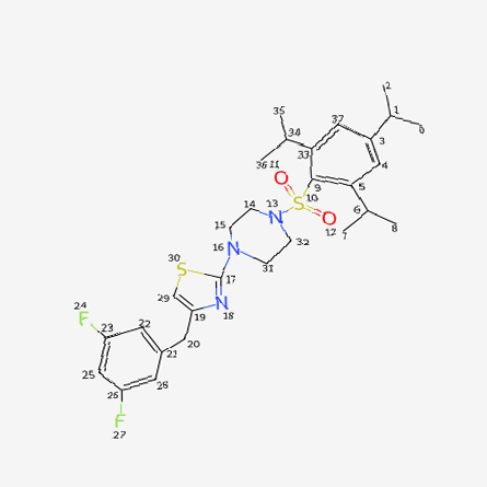 CC(C)c1cc(C(C)C)c(S(=O)(=O)N2CCN(c3nc(Cc4cc(F)cc(F)c4)cs3)CC2)c(C(C)C)c1